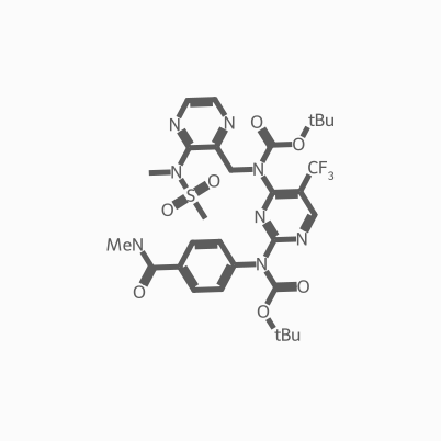 CNC(=O)c1ccc(N(C(=O)OC(C)(C)C)c2ncc(C(F)(F)F)c(N(Cc3nccnc3N(C)S(C)(=O)=O)C(=O)OC(C)(C)C)n2)cc1